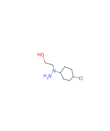 NN(CCO)C1CCC(Cl)CC1